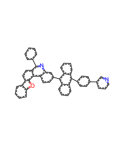 c1ccc(-c2nc3cc(-c4c5ccccc5c(-c5ccc(-c6cccnc6)cc5)c5ccccc45)ccc3c3c2ccc2c4ccccc4oc23)cc1